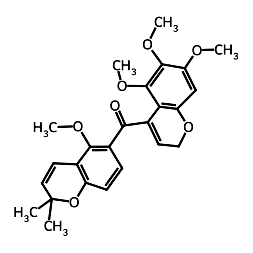 COc1cc2c(c(OC)c1OC)C(C(=O)c1ccc3c(c1OC)C=CC(C)(C)O3)=CCO2